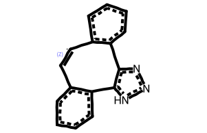 [C]1=C\c2ccccc2-c2[nH]nnc2-c2ccccc2/1